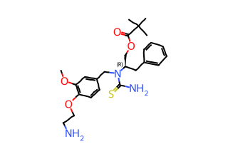 COc1cc(CN(C(N)=S)[C@@H](COC(=O)C(C)(C)C)Cc2ccccc2)ccc1OCCN